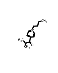 CCCC[n+]1ccc(C(=O)C(C)C)cc1